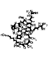 CCCCCCCCCCCCCCCC(=O)N[C@@H](CC(C)C)C(=O)N[C@@H](C)C(=O)N[C@@H](C)C(=O)N[C@@H](Cc1ccccc1)C(=O)N[C@@H](CCCNC(=N)N)C(=O)N[C@@H](CCCNC(=N)N)C(=O)N[C@@H](CC(C)C)C(=O)N[C@@H](Cc1c[nH]cn1)C(=O)N[C@H](C)CO